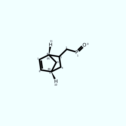 O=PCC1C[C@@H]2C=C[C@H]1C2